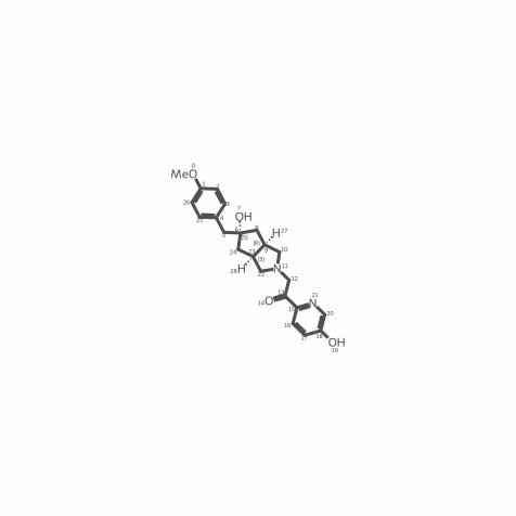 COc1ccc(C[C@@]2(O)C[C@H]3CN(CC(=O)c4ccc(O)cn4)C[C@H]3C2)cc1